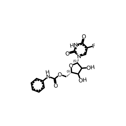 O=C(Nc1ccccc1)OC[C@@H]1O[C@H](n2cc(F)c(=O)[nH]c2=O)C(O)C1O